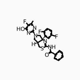 Cc1nc(N2C[C@H]3CSC(NC(=O)c4ccccc4)=N[C@@]3(c3cc(F)ccc3F)C2)nc(O)c1F